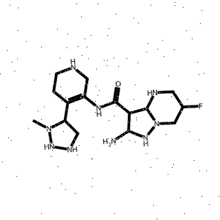 CN1NNCC1C1=C(NC(=O)C2C(N)NN3CC(F)CNC23)CNCC1